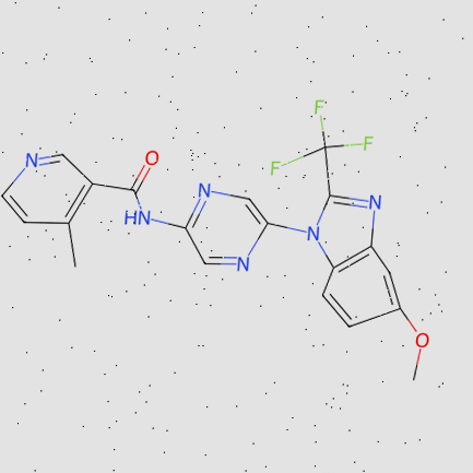 COc1ccc2c(c1)nc(C(F)(F)F)n2-c1cnc(NC(=O)c2cnccc2C)cn1